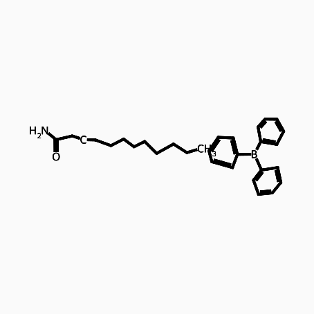 CCCCCCCCCCCC(N)=O.c1ccc(B(c2ccccc2)c2ccccc2)cc1